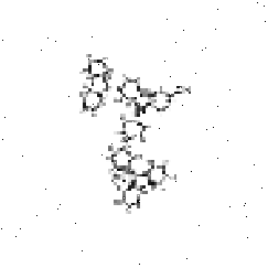 N#Cc1ccc2c(c1)c1ccc(-n3c4ccccc4c4ccccc43)cc1n2-c1ccc(-c2ccc(C#N)c(-n3c4ccccc4c4ccccc43)c2)cc1